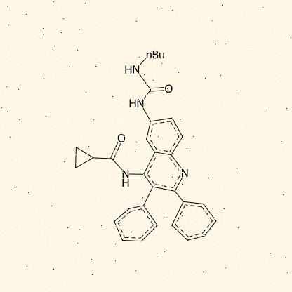 CCCCNC(=O)Nc1ccc2nc(-c3ccccc3)c(-c3ccccc3)c(NC(=O)C3CC3)c2c1